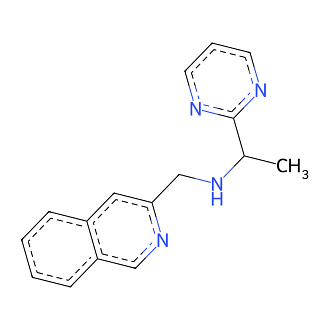 CC(NCc1cc2ccccc2cn1)c1ncccn1